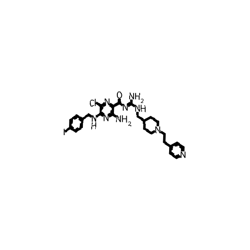 N/C(=N\C(=O)c1nc(Cl)c(NCc2ccc(I)cc2)nc1N)NCC1CCN(CCc2ccncc2)CC1